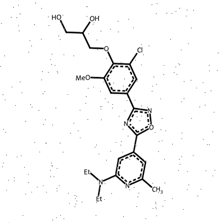 CCN(CC)c1cc(-c2nc(-c3cc(Cl)c(OCC(O)CO)c(OC)c3)no2)cc(C)n1